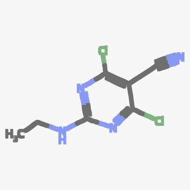 CCNc1nc(Cl)c(C#N)c(Cl)n1